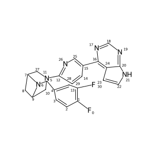 Fc1ccc(CN2C3CC2CN(c2ccc(-c4ncnc5[nH]ccc45)cn2)C3)cc1F